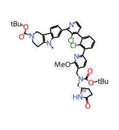 COc1nc(-c2cccc(-c3ccnc(-c4ccc5c6c(n(C)c5c4)CCN(C(=O)OC(C)(C)C)C6)c3Cl)c2Cl)ccc1CN(C[C@@H]1CCC(=O)N1)C(=O)OC(C)(C)C